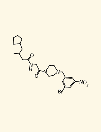 CC(CC(=O)NCC(=O)N1CCN(Cc2cc(Br)cc([N+](=O)[O-])c2)CC1)CC1CCCC1